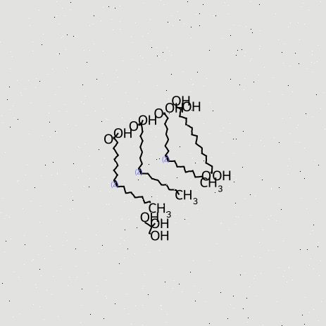 CCCCCCCC/C=C\CCCCCCCC(=O)O.CCCCCCCC/C=C\CCCCCCCC(=O)O.CCCCCCCC/C=C\CCCCCCCC(=O)O.O=C(O)CCCCCCCCCCCCC(O)CO.OCC(O)CO